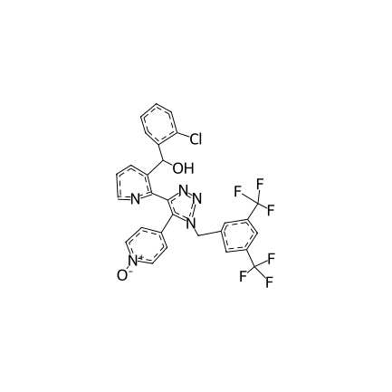 [O-][n+]1ccc(-c2c(-c3ncccc3C(O)c3ccccc3Cl)nnn2Cc2cc(C(F)(F)F)cc(C(F)(F)F)c2)cc1